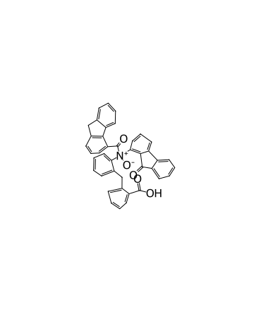 O=C(O)c1ccccc1Cc1ccccc1[N+]([O-])(C(=O)c1cccc2c1-c1ccccc1C2)c1cccc2c1C(=O)c1ccccc1-2